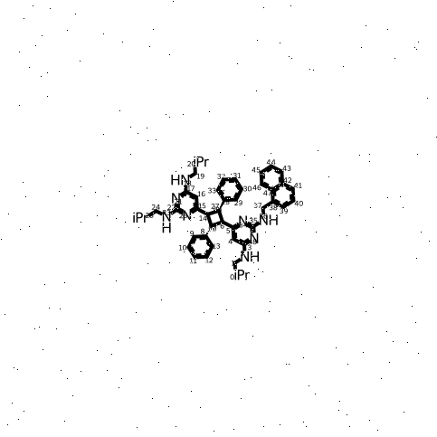 CC(C)CNc1cc(C2[C@H](c3ccccc3)C(c3cc(NCC(C)C)nc(NCC(C)C)n3)[C@H]2c2ccccc2)nc(NCc2cccc3ccccc23)n1